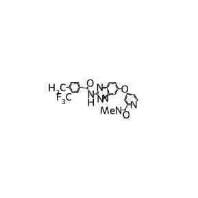 CNC(=O)c1cc(Oc2ccc3nc(NC(=O)c4ccc(C)c(C(F)(F)F)c4)nnc3c2)ccn1